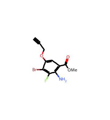 C#CCOc1cc(C(=O)OC)c(N)c(F)c1Br